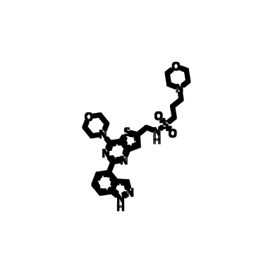 O=S(=O)(CCCN1CCOCC1)NCc1cc2nc(-c3cccc4[nH]ncc34)nc(N3CCOCC3)c2s1